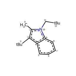 Cc1c(C(C)(C)C)c2ccccc2n1CC(C)(C)C